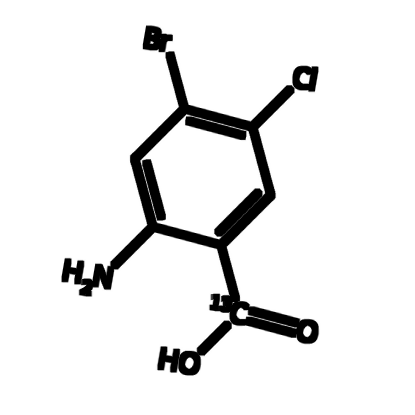 Nc1cc(Br)c(Cl)cc1[13C](=O)O